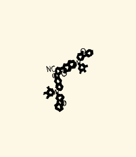 Cc1cc(N(c2ccc3cc4c(cc3c2)oc2c4cc(C#N)c3oc4cc5cc(N(c6cc(C)c(C)c(C)c6)c6ccc7oc8ccccc8c7c6)ccc5cc4c32)c2ccc3oc4ccccc4c3c2)cc(C)c1C